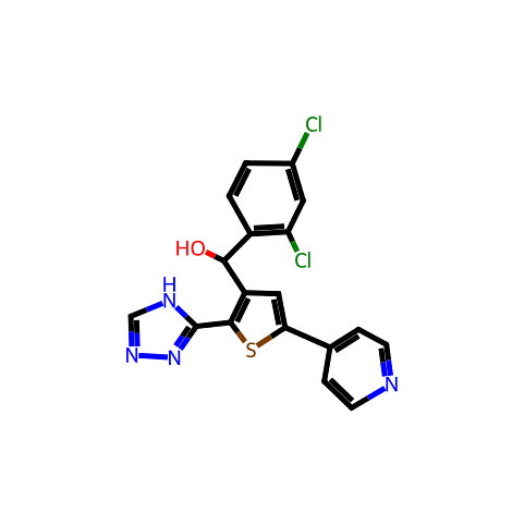 OC(c1ccc(Cl)cc1Cl)c1cc(-c2ccncc2)sc1-c1nnc[nH]1